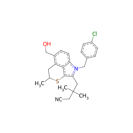 CC1Cc2c(CO)ccc3c2c(c(CC(C)(C)CC#N)n3Cc2ccc(Cl)cc2)S1